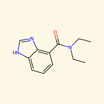 CCN(CC)C(=O)c1cccc2[nH]cnc12